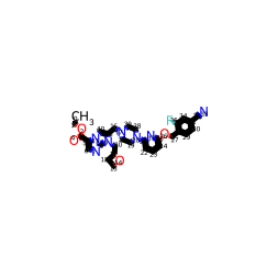 CCOC(=O)c1cnc2n(CC3CCO3)c(CN3CCN(c4cccc(OCc5ccc(C#N)cc5F)n4)CC3)cn12